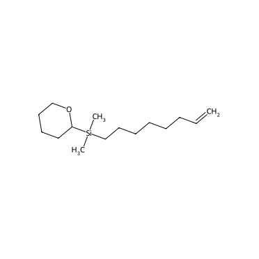 C=CCCCCCC[Si](C)(C)C1CCCCO1